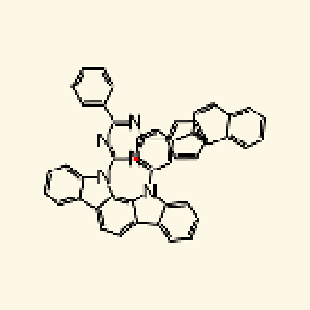 c1ccc(-c2nc(-c3ccccc3)nc(-n3c4ccccc4c4ccc5c6ccccc6n(-c6cccc(-c7ccc8ccccc8c7)c6)c5c43)n2)cc1